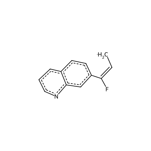 [CH2]/C=C(/F)c1ccc2cccnc2c1